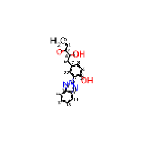 C=CC(=O)C(O)Cc1ccc(O)c(-n2nc3ccccc3n2)c1